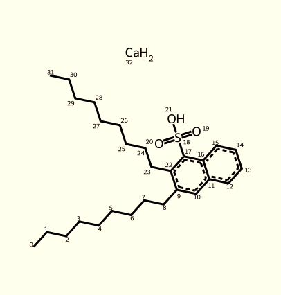 CCCCCCCCCc1cc2ccccc2c(S(=O)(=O)O)c1CCCCCCCCC.[CaH2]